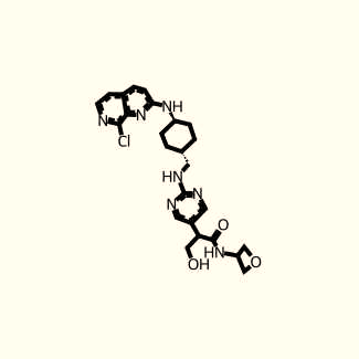 O=C(NC1COC1)C(CO)c1cnc(NC[C@H]2CC[C@H](Nc3ccc4ccnc(Cl)c4n3)CC2)nc1